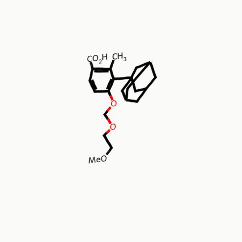 COCCOCOc1ccc(C(=O)O)c(C)c1C12CC3CC(CC(C3)C1)C2